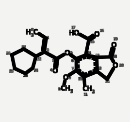 CC=C(C(=O)Oc1c(OC)c(C)c2c(c1C(=O)O)C(=O)OC2)C1CCCCC1